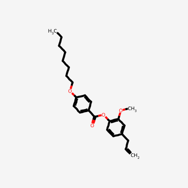 C=CCc1ccc(OC(=O)c2ccc(OCCCCCCCC)cc2)c(OC)c1